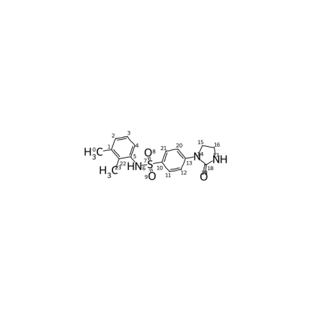 Cc1cccc(NS(=O)(=O)c2ccc(N3CCNC3=O)cc2)c1C